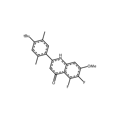 COc1cc2[nH]c(-c3cc(C)c(C(C)(C)C)cc3C)cc(=O)c2c(F)c1F